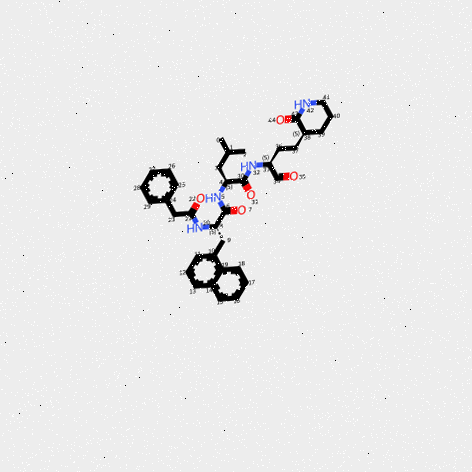 CC(C)C[C@H](NC(=O)[C@H](Cc1cccc2ccccc12)NC(=O)Cc1ccccc1)C(=O)N[C@H](C=O)CC[C@@H]1CCCNC1=O